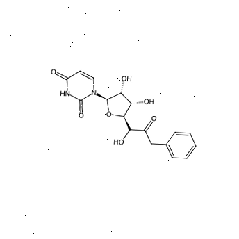 O=C(Cc1ccccc1)C(O)[C@H]1O[C@@H](n2ccc(=O)[nH]c2=O)[C@H](O)[C@@H]1O